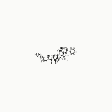 CC(C)(C)[C@]1(Cc2ccc(NC(=O)Cc3csc(N)n3)c(Br)c2)CC[C@H]([C@H](O)c2ccccc2)N1C(=O)O